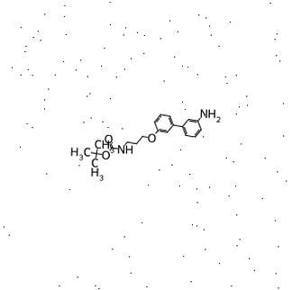 CC(C)(C)OC(=O)NCCCOc1cccc(-c2cccc(N)c2)c1